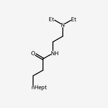 CCCCCCCCCC(=O)NCCN(CC)CC